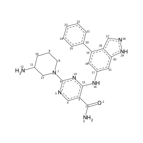 NC(=O)c1cnc(N2CCCC(N)C2)nc1Nc1cc(-c2ccccc2)c2cn[nH]c2c1